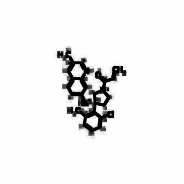 C=CC(=O)N1CC[C@@](Nc2ccc3cc(C)cnc3c2)(c2c(C)cccc2Cl)C1